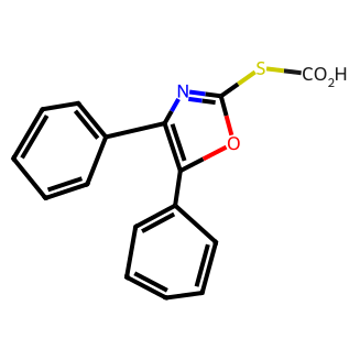 O=C(O)Sc1nc(-c2ccccc2)c(-c2ccccc2)o1